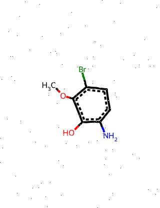 COc1c(Br)ccc(N)c1O